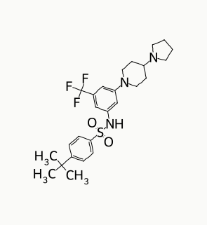 CC(C)(C)c1ccc(S(=O)(=O)Nc2cc(N3CCC(N4CCCC4)CC3)cc(C(F)(F)F)c2)cc1